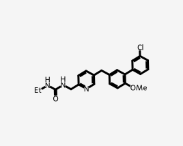 CCNC(=O)NCc1ccc(Cc2ccc(OC)c(-c3cccc(Cl)c3)c2)cn1